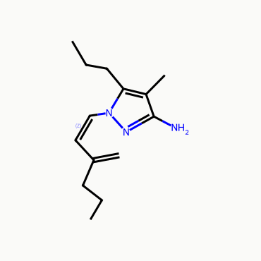 C=C(/C=C\n1nc(N)c(C)c1CCC)CCC